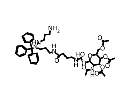 CC(=O)NC1C(OC(O)NCCCC(=O)NCCCN(NCCCN)C(c2ccccc2)(c2ccccc2)c2ccccc2)OC(COC(C)=O)C(OC(C)=O)C1OC(C)=O